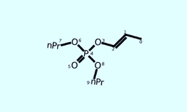 CC=COP(=O)(OCCC)OCCC